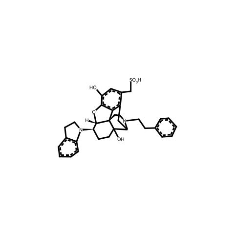 O=S(=O)(O)Cc1cc(O)c2c3c1CC1N(CCc4ccccc4)CC[C@@]34[C@@H](O2)[C@H](N2CCc3ccccc32)CCC14O